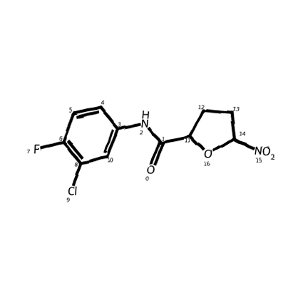 O=C(Nc1ccc(F)c(Cl)c1)C1CCC([N+](=O)[O-])O1